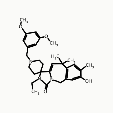 CCN1C(=O)N2Cc3cc(O)c(C)cc3C(C)(C)C=C2C12CCN(Cc1cc(OC)cc(OC)c1)CC2